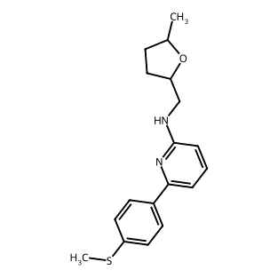 CSc1ccc(-c2cccc(NCC3CCC(C)O3)n2)cc1